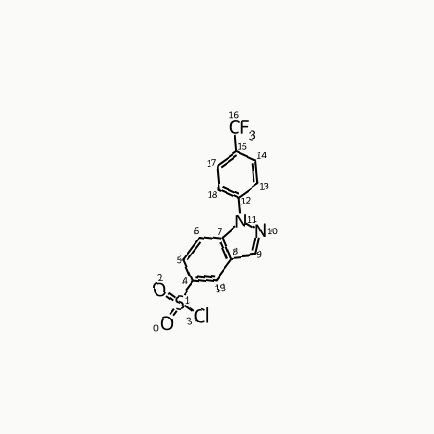 O=S(=O)(Cl)c1ccc2c(cnn2-c2ccc(C(F)(F)F)cc2)c1